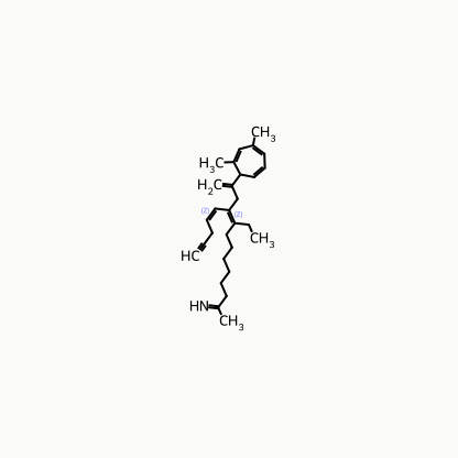 C#CC/C=C\C(CC(=C)C1C=CC=C(C)C=C1C)=C(\CC)CCCCCCC(C)=N